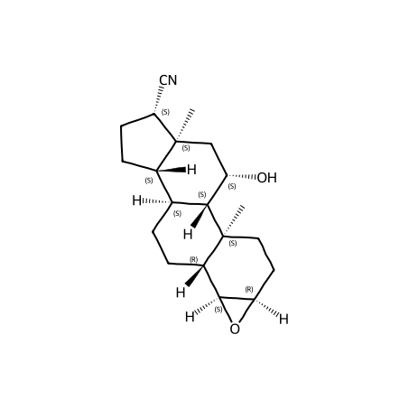 C[C@]12CC[C@H]3O[C@H]3[C@@H]1CC[C@@H]1[C@@H]2[C@@H](O)C[C@]2(C)[C@@H](C#N)CC[C@@H]12